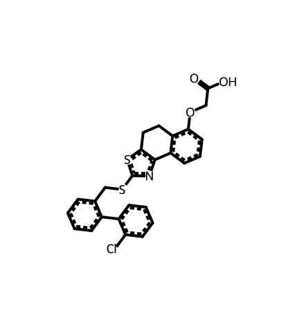 O=C(O)COc1cccc2c1CCc1sc(SCc3ccccc3-c3ccccc3Cl)nc1-2